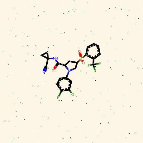 N#CC1(NC(=O)C2CC(S(=O)(=O)c3ccccc3C(F)(F)F)CN2c2ccc(F)c(Cl)c2)CC1